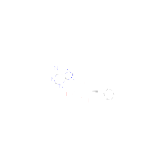 O[C@@H]1[C@H](O)[C@@H](C#Cc2ccccc2F)O[C@H]1n1cnc2c(NCC3CCCCC3)ncnc21